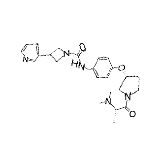 C[C@@H](C(=O)N1CC[C@@H](Oc2ccc(NC(=O)N3CC(c4cccnc4)C3)cc2)C1)N(C)C